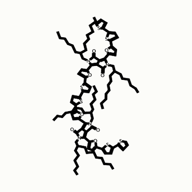 CCCCCCCCC(CCCCCC)CN1C(=O)C2=C(c3ccc(-c4ccc(-c5ccc(-c6ccc(C7=C8C(=O)N(CC(CCCCCC)CCCCCCCC)C(c9ccc(-c%10ccc(-c%11cccs%11)s%10)o9)=C8C(=O)N7CC(CCCCCC)CCCCCCCC)o6)s5)s4)o3)N(CC(CCCCCC)CCCCCCCC)C(=O)C2=C1c1ccc(-c2ccc(-c3cccs3)s2)o1